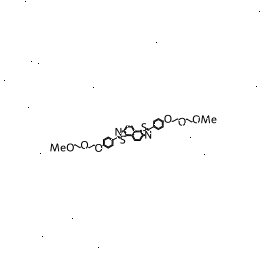 COCCOCCOc1ccc(-c2nc3ccc4c(ccc5nc(-c6ccc(OCCOCCOC)cc6)sc54)c3s2)cc1